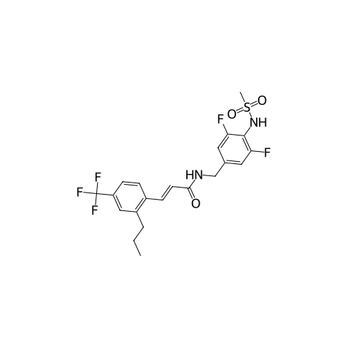 CCCc1cc(C(F)(F)F)ccc1C=CC(=O)NCc1cc(F)c(NS(C)(=O)=O)c(F)c1